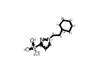 O=S(=O)(Cl)c1ccn(CCC2CCCCC2)n1